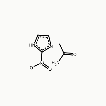 CC(N)=O.O=[N+]([O-])c1ncc[nH]1